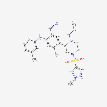 Cc1cccc(Nc2cc(C)c(C3CN(S(=O)(=O)c4cnn(C)n4)CCN3CCC(F)(F)F)cc2C=N)c1